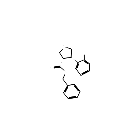 O=C(NCc1ccccc1)[C@@H]1CNC[C@H]1c1ccccc1Cl